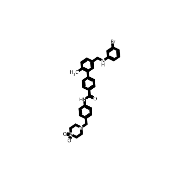 Cc1ccc(CNc2cccc(Br)c2)cc1-c1ccc(C(=O)Nc2ccc(CN3CCS(=O)(=O)CC3)cc2)cc1